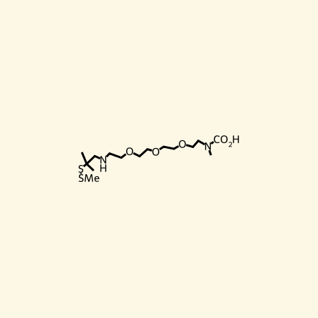 CSSC(C)(C)CNCCOCCOCCOCCN(C)C(=O)O